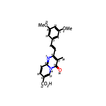 COc1cc(/C=C/c2nc3ccc(C(=O)O)cn3c(=O)c2C)cc(OC)c1